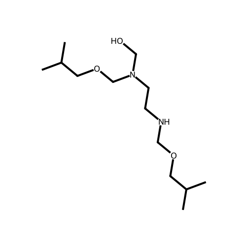 CC(C)COCNCCN(CO)COCC(C)C